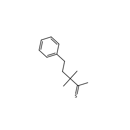 CC(=S)C(C)(C)CCc1ccccc1